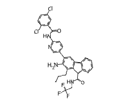 CCCc1c(N)c(-c2ccc(NC(=O)c3cc(Cl)ccc3Cl)nc2)cc2c1C(C(=O)NCC(F)(F)F)c1ccccc1-2